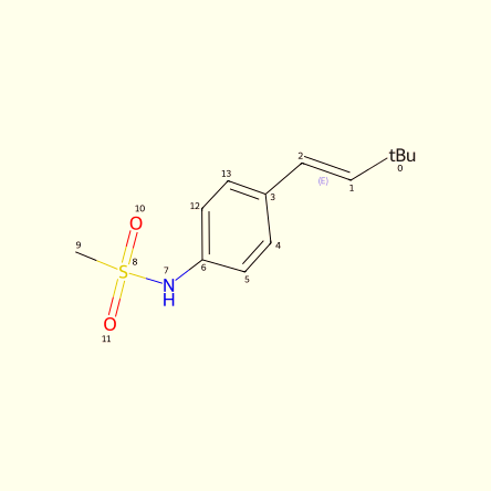 CC(C)(C)/C=C/c1ccc(NS(C)(=O)=O)cc1